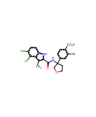 Cc1c(C(=O)NC2(c3ccc(C(=O)O)c(Br)c3)CCOC2)[nH]c2ccc(Cl)c(Cl)c12